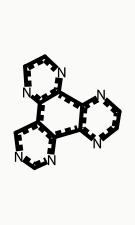 c1cnc2c(n1)c1cncnc1c1nccnc21